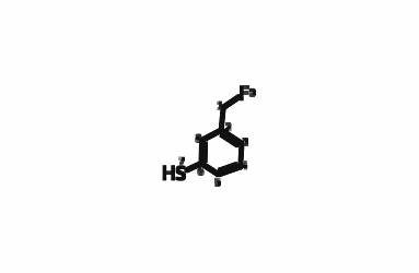 FCc1cccc(S)c1